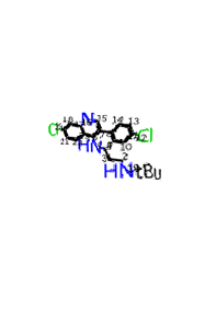 CC(C)(C)NCCCNc1c(-c2ccc(Cl)cc2)cnc2cc(Cl)ccc12